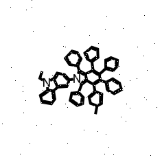 CCn1c2ccccc2c2cc(-n3c(-c4ccccc4)c4c(C5=CCC(C)C=C5)c(-c5ccccc5)c(-c5ccccc5)c(-c5ccccc5)c4c3-c3ccccc3)ccc21